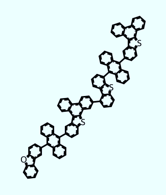 c1ccc2c(c1)oc1ccc(-c3c4ccccc4c(-c4ccc5sc6c7cc(-c8cccc9sc%10c(-c%11c%12ccccc%12c(-c%12ccc%13sc%14c%15ccccc%15c%15ccccc%15c%14c%13c%12)c%12ccccc%11%12)cccc%10c89)ccc7c7ccccc7c6c5c4)c4ccccc34)cc12